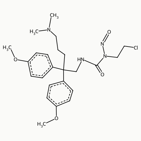 COc1ccc(C(CCCN(C)C)(CNC(=O)N(CCCl)N=O)c2ccc(OC)cc2)cc1